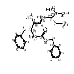 CC(C)C[C@H](NC[C@H](O)[C@@H](Cc1ccccc1)NC(=O)OCc1ccccc1)B(O)O